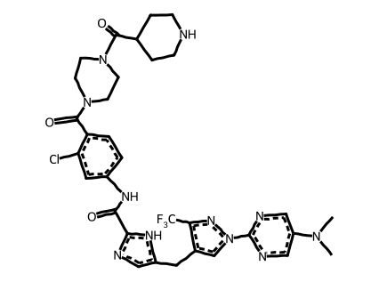 CN(C)c1cnc(-n2cc(Cc3cnc(C(=O)Nc4ccc(C(=O)N5CCN(C(=O)C6CCNCC6)CC5)c(Cl)c4)[nH]3)c(C(F)(F)F)n2)nc1